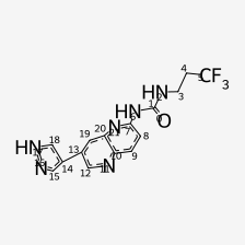 O=C(NCCC(F)(F)F)Nc1ccc2ncc(-c3cn[nH]c3)cc2n1